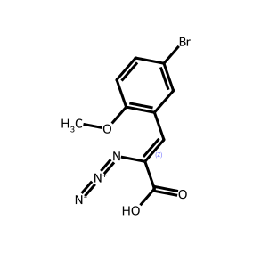 COc1ccc(Br)cc1/C=C(\N=[N+]=[N-])C(=O)O